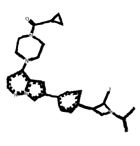 CC(C)N1CC(c2ccc(-c3cc4c(N5CCN(C(=O)C6CC6)CC5)ccnn4c3)cc2)C1I